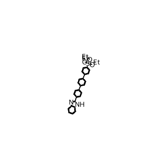 CCO[Si](OCC)(OCC)c1ccc(-c2ccc(-c3ccc(-c4nc5ccccc5[nH]4)cc3)cc2)cc1